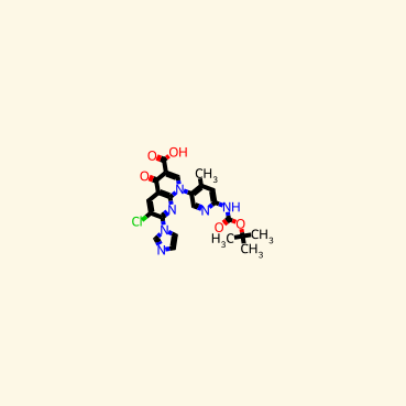 Cc1cc(NC(=O)OC(C)(C)C)ncc1-n1cc(C(=O)O)c(=O)c2cc(Cl)c(-n3ccnc3)nc21